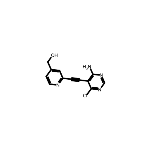 Nc1ncnc(Cl)c1C#Cc1cc(CO)ccn1